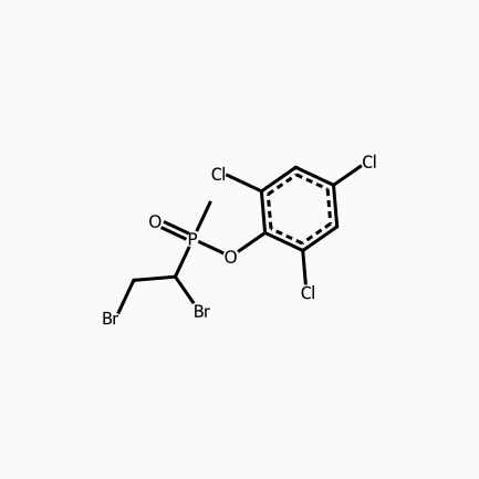 CP(=O)(Oc1c(Cl)cc(Cl)cc1Cl)C(Br)CBr